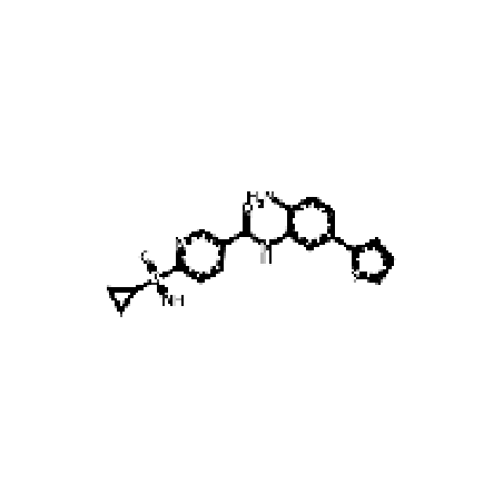 N=S(=O)(c1ccc(C(=O)Nc2cc(-c3cccs3)ccc2N)cn1)C1CC1